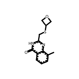 Cc1cccc2c(=O)[nH]c(CSC3COC3)nc12